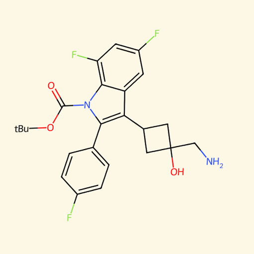 CC(C)(C)OC(=O)n1c(-c2ccc(F)cc2)c(C2CC(O)(CN)C2)c2cc(F)cc(F)c21